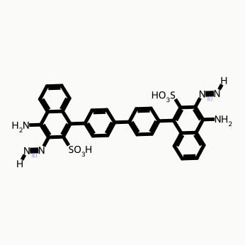 [H]/N=N/c1c(S(=O)(=O)O)c(-c2ccc(-c3ccc(-c4c(S(=O)(=O)O)c(/N=N/[H])c(N)c5ccccc45)cc3)cc2)c2ccccc2c1N